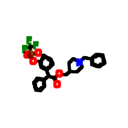 O=C(OCC1CCN(Cc2ccccc2)CC1)C(c1ccccc1)c1cccc(OS(=O)(=O)C(F)(F)F)c1